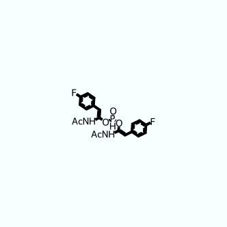 CC(=O)NC(=Cc1ccc(F)cc1)O[PH](=O)OC(=Cc1ccc(F)cc1)NC(C)=O